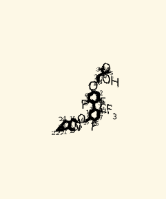 OC1(CCOc2cc(F)c(-c3cc(COc4cc5c(cn4)C4CC4C5)c(F)cc3C(F)(F)F)c(F)c2)COC1